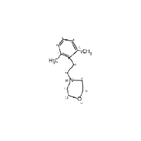 Cc1cccc(C)c1[CH]CN1CCOCC1